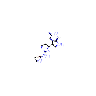 C=C/C=c1/c(-c2ccnc(Nc3nccs3)n2)c[nH]/c1=C/N